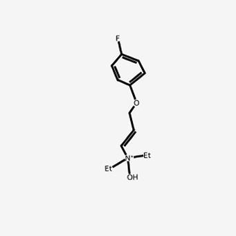 CC[N+](O)(/C=C/COc1ccc(F)cc1)CC